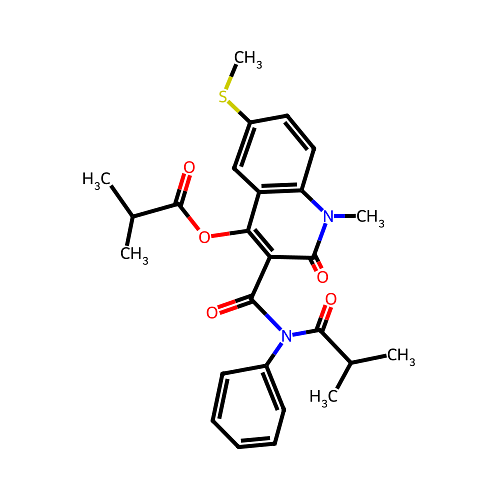 CSc1ccc2c(c1)c(OC(=O)C(C)C)c(C(=O)N(C(=O)C(C)C)c1ccccc1)c(=O)n2C